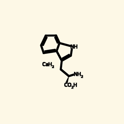 N[C@@H](Cc1c[nH]c2ccccc12)C(=O)O.[CaH2]